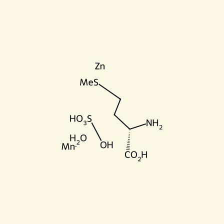 CSCC[C@H](N)C(=O)O.O.O=S(=O)(O)O.[Mn].[Zn]